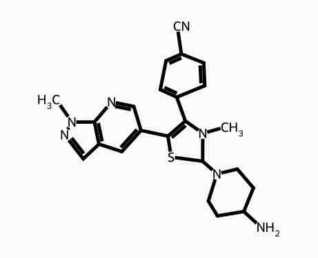 CN1C(c2ccc(C#N)cc2)=C(c2cnc3c(cnn3C)c2)SC1N1CCC(N)CC1